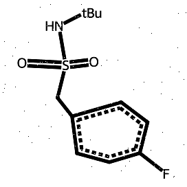 CC(C)(C)NS(=O)(=O)Cc1ccc(F)cc1